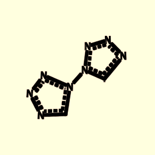 [c]1nnnn1-n1cnnn1